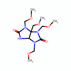 COCN1C(=O)N(COC)C2(COC)C1NC(=O)N2COC